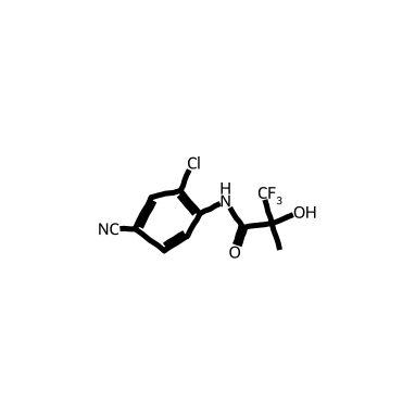 CC(O)(C(=O)Nc1ccc(C#N)cc1Cl)C(F)(F)F